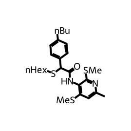 CCCCCCSC(C(=O)Nc1c(SC)cc(C)nc1SC)c1ccc(CCCC)cc1